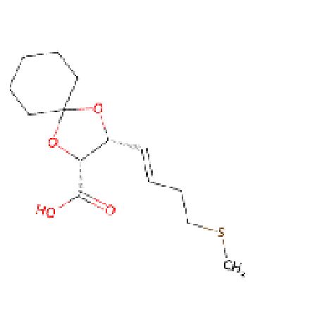 CSCC/C=C/[C@H]1OC2(CCCCC2)O[C@H]1C(=O)O